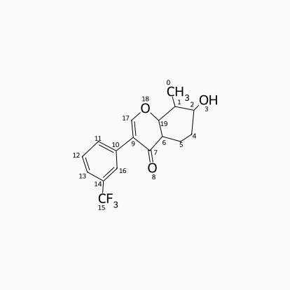 CC1C(O)CCC2C(=O)C(c3cccc(C(F)(F)F)c3)=COC21